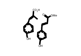 CC(=Cc1ccc(O)cc1)C(=O)O.COC(=O)C=Cc1ccc(O)cc1